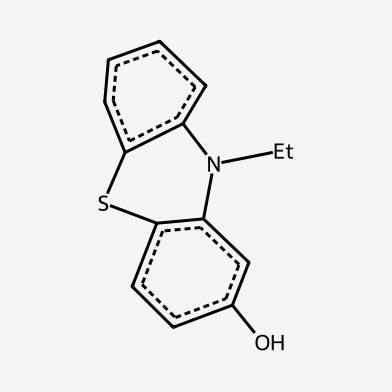 CCN1c2ccccc2Sc2ccc(O)cc21